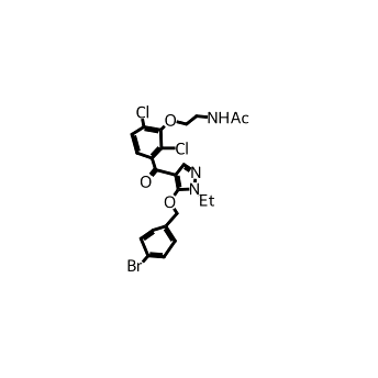 CCn1ncc(C(=O)c2ccc(Cl)c(OCCNC(C)=O)c2Cl)c1OCc1ccc(Br)cc1